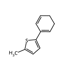 Cc1ccc(C2=CCCC=C2)s1